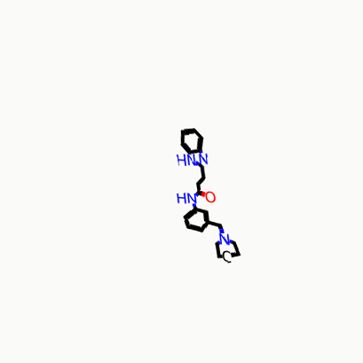 O=C(CCc1nc2ccccc2[nH]1)Nc1cccc(CN2CCCCC2)c1